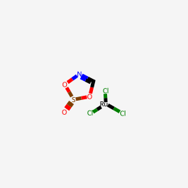 O=S1OC=NO1.[Cl][Ru]([Cl])[Cl]